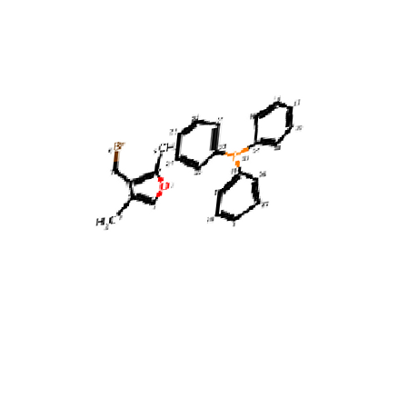 Cc1coc(C)c1CBr.c1ccc(P(c2ccccc2)c2ccccc2)cc1